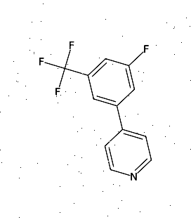 Fc1cc(-c2ccncc2)cc(C(F)(F)F)c1